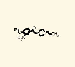 C=CCN1CCN(CC(=O)c2ccc(OC(C)C)c([N+](=O)[O-])c2)CC1